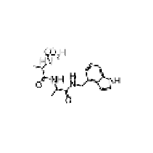 CC(NC(=O)O)C(=O)NC(C)C(=O)NCc1cccc2[nH]ccc12